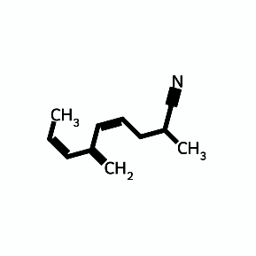 C=C(/C=C\C)/C=C\CC(C)C#N